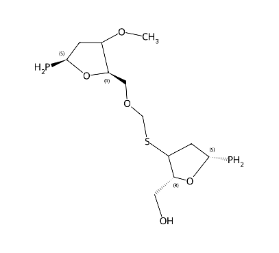 COC1C[C@H](P)O[C@@H]1COCSC1C[C@H](P)O[C@@H]1CO